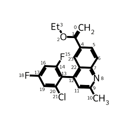 C=C(OCC)c1ccc2nc(C)cc(-c3c(F)cc(F)cc3Cl)c2c1